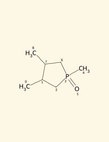 CC1CP(C)(=O)CC1C